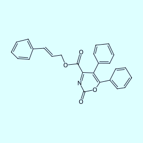 O=C(OCC=Cc1ccccc1)c1nc(=O)oc(-c2ccccc2)c1-c1ccccc1